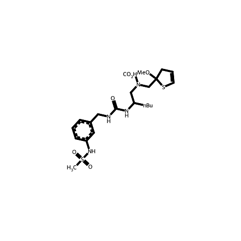 CCCCC(CN(CC1(OC)CC=CS1)C(=O)O)NC(=O)NCc1cccc(NS(C)(=O)=O)c1